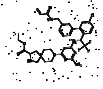 C=CC(=O)NCc1cccc(-c2cc(Cl)ccc2[C@@H](Oc2cc(N3CCC4(CC3)CNC(C(=O)OCC)C4)nc(N)n2)C(F)(F)F)c1